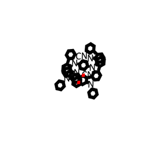 N#Cc1c(-n2c3ccccc3c3ccccc32)c(-n2c3ccccc3c3ccc4c(c5ccccc5n4-c4ccccc4)c32)c(C#N)c(-n2c3ccccc3c3ccccc32)c1-n1c2ccccc2c2ccc3c(c4ccccc4n3-c3ccccc3)c21